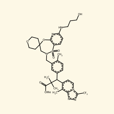 COC(=O)C(C)(C)C(c1ccc(C)c(CN2CC3(CCOCC3)Oc3nc(NCCCO)ccc3S2(=O)=O)c1)c1ccn2c(C(F)(F)F)nnc2c1C